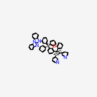 C[Si](C)(c1cccnc1)C1([Si](C)(C)c2cccnc2)c2ccccc2Oc2c1cccc2[Si](c1ccccc1)(c1ccccc1)c1cccc(-n2c3ccccc3n3c4ccccc4nc23)c1